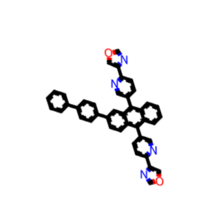 c1ccc(-c2ccc(-c3ccc4c(-c5ccc(-c6cocn6)nc5)c5ccccc5c(-c5ccc(-c6cocn6)nc5)c4c3)cc2)cc1